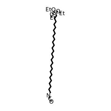 CCO[Si](CCCCCCCCCCCCCCCCCCCCCCCCCCCN=C=O)(OCC)OCC